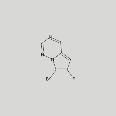 Fc1cc2cncnn2c1Br